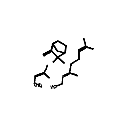 C=C1C2CCC(C2)C1(C)C.CC(C)=CC=O.CC(C)=CCC/C(C)=C/CO